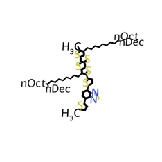 CCCCCCCCCCC(CCCCCCCC)CCCCCCCCc1c(C)sc2c1sc1c3sc(-c4ccc(-c5ccc(-c6ccc(C)s6)c6nsnc56)s4)c(CCCCCCCCC(CCCCCCCC)CCCCCCCCCC)c3sc21